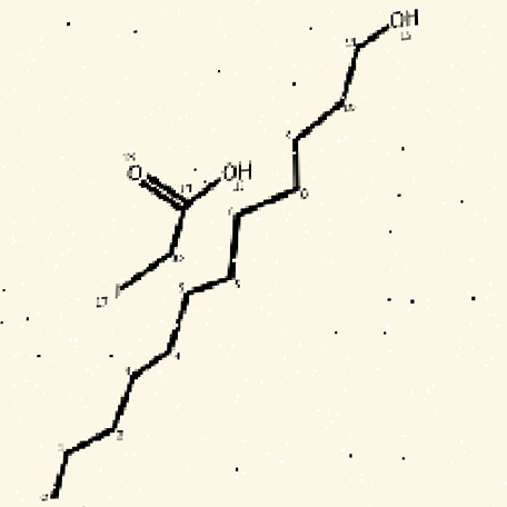 CCCCCCCCCCCCO.O=C(O)CI